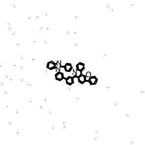 c1ccc(-c2nc3ccccc3n2-c2cccc(-c3cccc(-c4nc5ccccc5c5c4ccc4c6ccccc6oc45)c3)c2)cc1